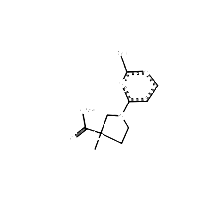 COC(=O)C1(C)CCN(c2ccnc(N)n2)C1